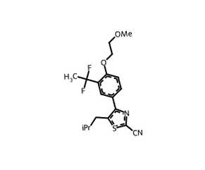 COCCOc1ccc(-c2nc(C#N)sc2CC(C)C)cc1C(C)(F)F